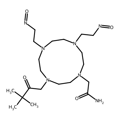 CC(C)(C)C(=O)CN1CCN(CCN=O)CCN(CCN=O)CCN(CC(N)=O)CC1